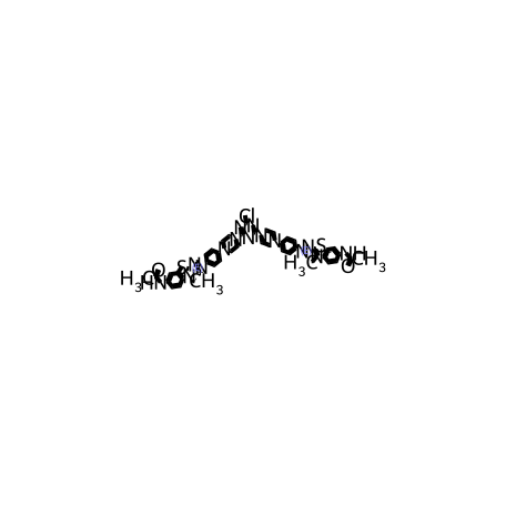 CC(=O)Nc1ccc2c(c1)sc(/N=N/c1ccc(N3CCN(c4nc(Cl)nc(N5CCN(c6ccc(/N=N/c7sc8cc(NC(C)=O)ccc8[n+]7C)cc6)CC5)n4)CC3)cc1)[n+]2C